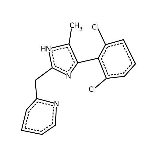 Cc1[nH]c(Cc2ccccn2)nc1-c1c(Cl)cccc1Cl